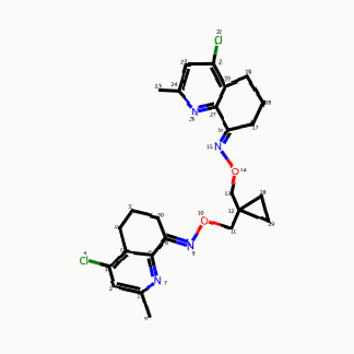 Cc1cc(Cl)c2c(n1)/C(=N/OCC1(CO/N=C3\CCCc4c(Cl)cc(C)nc43)CC1)CCC2